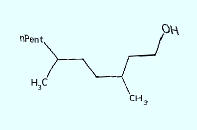 CCCCCC(C)CCC(C)CCO